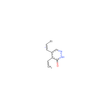 C=Cc1c(/C=C\CC)cn[nH]c1=O